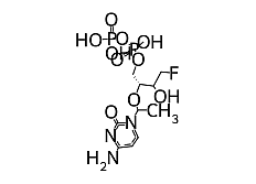 CC(O[C@H](COP(=O)(O)OP(=O)(O)O)C(O)CF)n1ccc(N)nc1=O